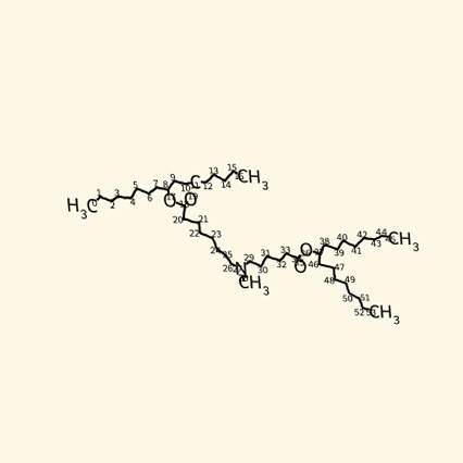 CCCCCCCCC(CCCCCCCC)OC(=O)CCCCCCCN(C)CCCCCC(=O)OC(CCCCCCCC)CCCCCCCC